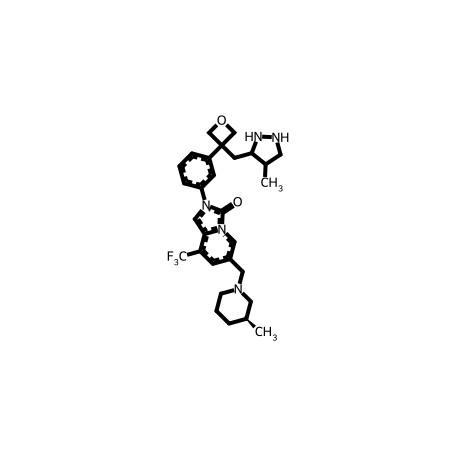 CC1CNNC1CC1(c2cccc(-n3cc4c(C(F)(F)F)cc(CN5CCC[C@H](C)C5)cn4c3=O)c2)COC1